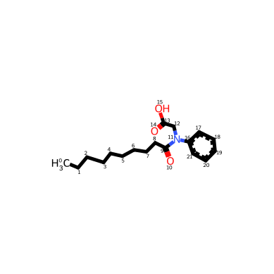 CCCCCCCCCC(=O)N(CC(=O)O)c1ccccc1